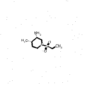 CCS(=O)(=O)N1CC[C@H](C)[C@H](N)C1